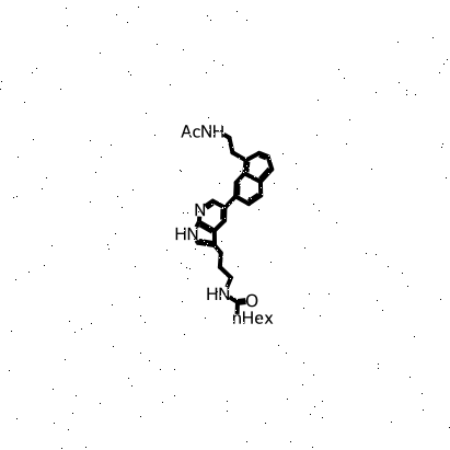 CCCCCCC(=O)NCCCc1c[nH]c2ncc(-c3ccc4cccc(CCNC(C)=O)c4c3)cc12